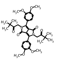 COc1ccc(C2=C3C(=O)N(CC(=O)C(C)(C)C)C(c4ccc(OC)c(OC)c4)=C3C(=O)N2CC(=O)C(C)(C)C)cc1OC